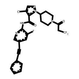 O=C(Nc1ncc(C#Cc2ccccc2)cc1F)c1c(Cl)cnn1C1CCN(C(=O)CC(F)(F)F)CC1